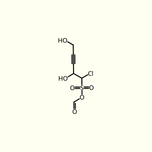 O=COS(=O)(=O)C(Cl)C(O)C#CCO